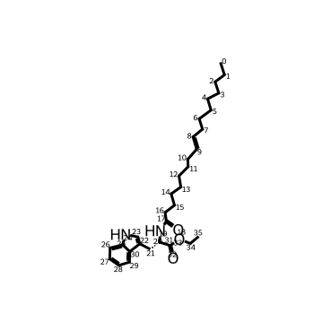 CCCCCCCCC=CCCCCCCCC(=O)N[C@@H](Cc1c[nH]c2ccccc12)C(=O)OCC